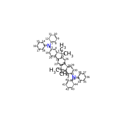 CC1(C)c2cc(N(C3=CC=CCC3)c3ccccc3)ccc2-c2cc3c(cc21)-c1ccc(N(c2ccccc2)C2C=CC=CC2)cc1C3(C)C